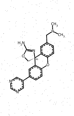 CN(C)Cc1ccc2c(c1)[C@@]1(COC(N)=N1)c1cc(-c3cncnc3)ccc1O2